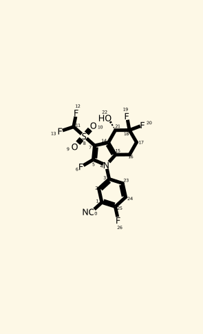 N#Cc1cc(-n2c(F)c(S(=O)(=O)C(F)F)c3c2CCC(F)(F)[C@H]3O)ccc1F